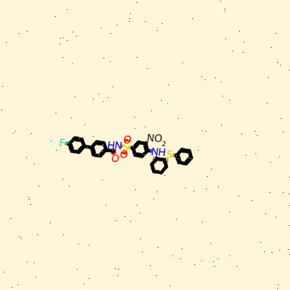 O=C(NS(=O)(=O)c1ccc(N[C@H]2CCCC[C@@H]2Sc2ccccc2)c([N+](=O)[O-])c1)c1ccc(-c2ccc(F)cc2)cc1